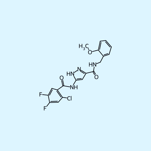 COc1ccccc1CNC(=O)c1cc(NC(=O)c2cc(F)c(F)cc2Cl)[nH]n1